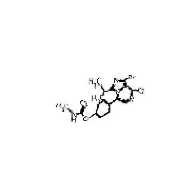 CNC(=O)OC1CC=C(c2cnc(Cl)c3c(Br)nc(C(C)C)n23)CC1